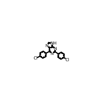 Clc1ccc(-c2nc(-c3ccc(Cl)cc3)c3nc[nH]c3n2)cc1